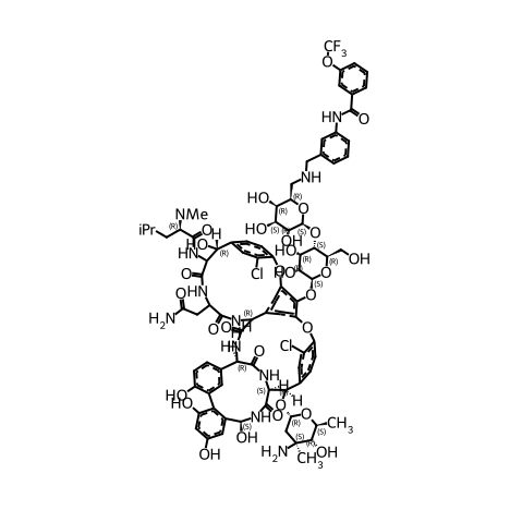 CN[C@H](CC(C)C)C(=O)NC1C(=O)NC(CC(N)=O)C(=O)N[C@H]2C(=O)N[C@H]3C(=O)N[C@H](C(=O)N[C@@H](O)c4cc(O)cc(O)c4-c4cc3ccc4O)[C@H](O[C@H]3C[C@](C)(N)[C@@H](O)[C@H](C)O3)c3ccc(c(Cl)c3)Oc3cc2cc(c3O[C@@H]2O[C@H](CO)[C@@H](O[C@@H]3O[C@H](CNCc4cccc(NC(=O)c5cccc(OC(F)(F)F)c5)c4)[C@H](O)[C@H](O)[C@H]3O)[C@H](O)[C@H]2O)Oc2ccc(cc2Cl)[C@H]1O